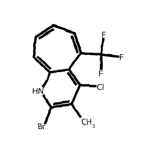 CC1=C(Br)NC2=CC=CC=C(C(F)(F)F)C2=C1Cl